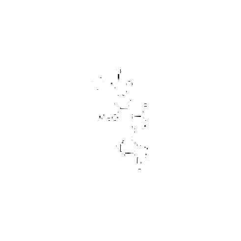 CCn1cnc2c(-c3ccc(F)c(-c4cc5oc(=O)n(C6CCC6)c5cc4OC)c3)cnnc21